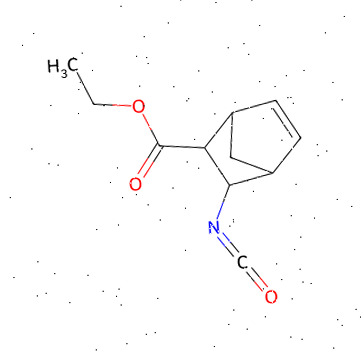 CCOC(=O)C1C2C=CC(C2)C1N=C=O